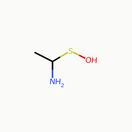 CC(N)SO